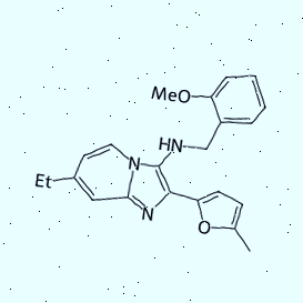 CCc1ccn2c(NCc3ccccc3OC)c(-c3ccc(C)o3)nc2c1